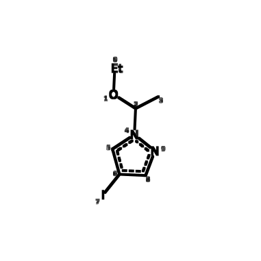 CCOC(C)n1cc(I)cn1